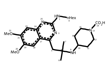 CCCCCCNc1nc(CC(C)(C)NC2CCN(C(=O)O)CC2)c2cc(OC)c(OC)cc2n1